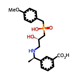 COc1ccc(CP(=O)(O)C[C@@H](O)CN[C@H](C)c2cccc(C(=O)O)c2)cc1